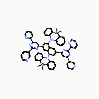 C[Si]1(C)c2ccccc2N(c2cc(-c3cc(-c4cccnc4)nc(-c4ccccn4)n3)cc3c(N4c5ccccc5[Si](C)(C)c5ccccc54)cc(-c4cc(-c5ccccn5)nc(-c5cccnc5)n4)cc23)c2ccccc21